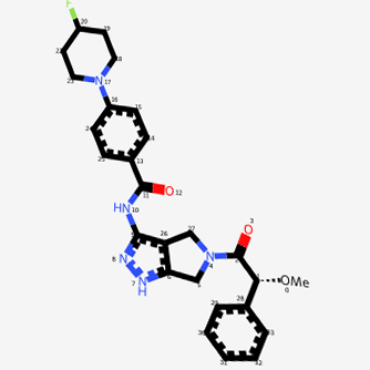 CO[C@@H](C(=O)N1Cc2[nH]nc(NC(=O)c3ccc(N4CCC(F)CC4)cc3)c2C1)c1ccccc1